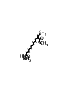 CCC=C(CCCCCCCCCC(=O)NN)C(=O)CC